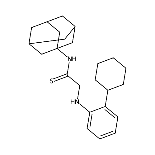 S=C(CNc1ccccc1C1CCCCC1)NC12CC3CC(CC(C3)C1)C2